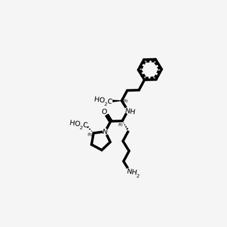 NCCCC[C@@H](N[C@H](CCc1ccccc1)C(=O)O)C(=O)N1CCC[C@@H]1C(=O)O